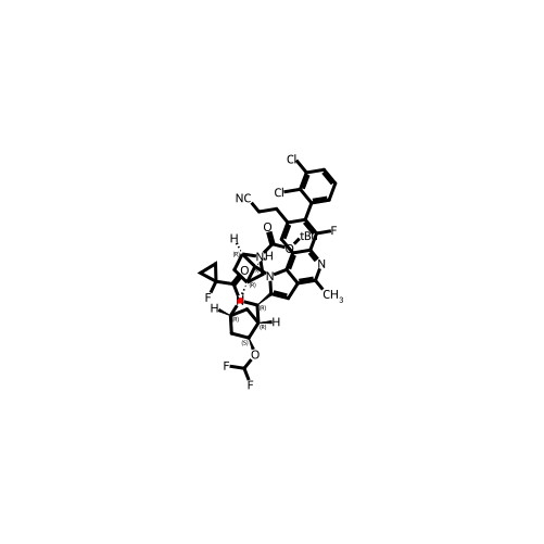 Cc1nc2c(F)c(-c3cccc(Cl)c3Cl)c(CCC#N)cc2c2c1cc([C@H]1[C@H]3C[C@H](C[C@@H]3OC(F)F)N1C(=O)C1(F)CC1)n2[C@H]1[C@@H]2C[C@H]1N(C(=O)OC(C)(C)C)C2